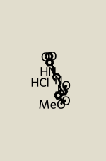 COC(=O)c1cccc2c1ccc(=O)n2CCN1CCC(NCc2ccc3c(c2)OCCO3)CC1.Cl